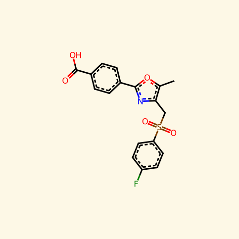 Cc1oc(-c2ccc(C(=O)O)cc2)nc1CS(=O)(=O)c1ccc(F)cc1